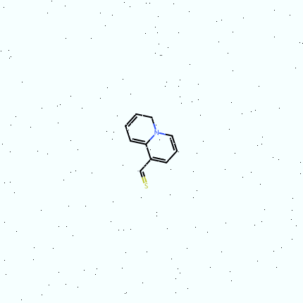 S=[C]C1=CC=CN2CC=CC=C12